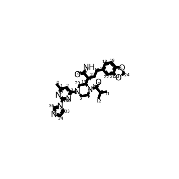 Cc1cc(N2CCN(C(=O)C(C)C)C(C(CCc3ccc4c(c3)OCO4)C(N)=O)C2)nc(-n2ccnc2)n1